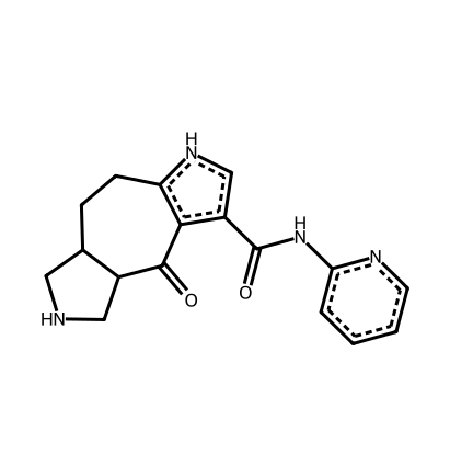 O=C(Nc1ccccn1)c1c[nH]c2c1C(=O)C1CNCC1CC2